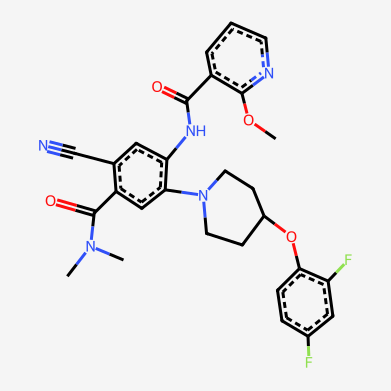 COc1ncccc1C(=O)Nc1cc(C#N)c(C(=O)N(C)C)cc1N1CCC(Oc2ccc(F)cc2F)CC1